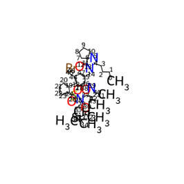 CCCCC1=NC2(CCCC2)C(=O)N1Cc1ccc(-c2ccccc2S(=O)(=O)N(COC(C)[Si](C)(C)C)c2onc(C)c2C)c(CBr)c1